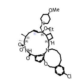 CCO[C@@]1(CN2CCC(OC)CC2)/C=C/C[C@H](C)[C@@H](C)S(=O)(=O)NC(=O)c2ccc3c(c2)N(CCCCc2cc(Cl)ccc2CO3)C[C@@H]2CCC21